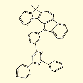 CC1(C)c2ccccc2-c2c1ccc1c3ccccc3n(-c3cccc(-c4nc(-c5ccccc5)nc(-c5ccccc5)n4)c3)c21